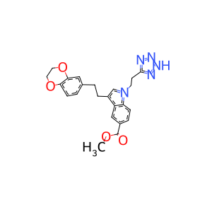 COC(=O)c1ccc2c(c1)c(CCc1ccc3c(c1)OCCO3)cn2CCc1nn[nH]n1